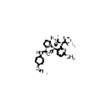 CCN(c1nc(C)ccc1S(=O)(=O)N1CCC[C@H]1C(=O)NC1CCC(OC)CC1)C(C)C